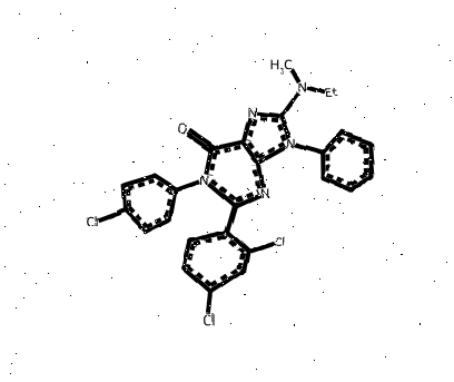 CCN(C)c1nc2c(=O)n(-c3ccc(Cl)cc3)c(-c3ccc(Cl)cc3Cl)nc2n1-c1ccccc1